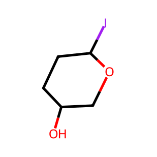 OC1CCC(I)OC1